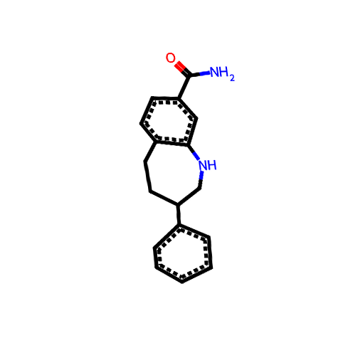 NC(=O)c1ccc2c(c1)NCC(c1ccccc1)CC2